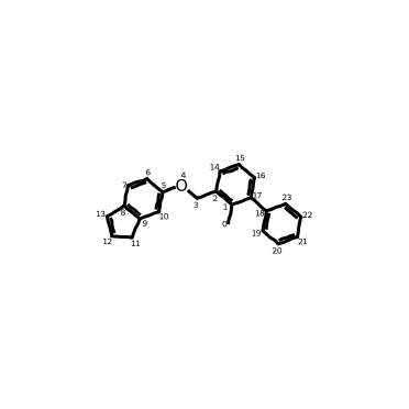 Cc1c(COc2ccc3c(c2)CC=C3)cccc1-c1ccccc1